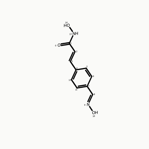 O=C(C=Cc1ccc(C=NO)cc1)NO